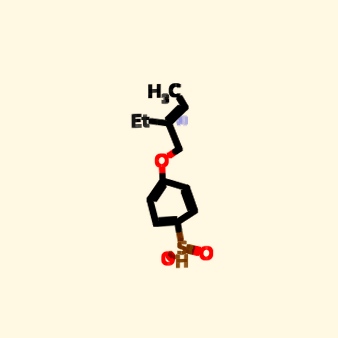 C/C=C(\CC)COc1ccc([SH](=O)=O)cc1